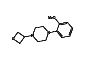 COc1ccccc1N1CCN(C2COC2)CC1